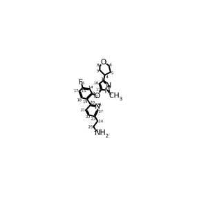 Cn1nc(C2CCOCC2)cc1Oc1cc(F)ccc1-c1ccc(CCN)cn1